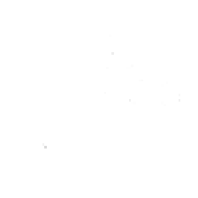 COc1ccc2c(C(=O)c3ccc(OCCCN4CCOCC4)cc3)c(-c3ccccc3)sc2c1